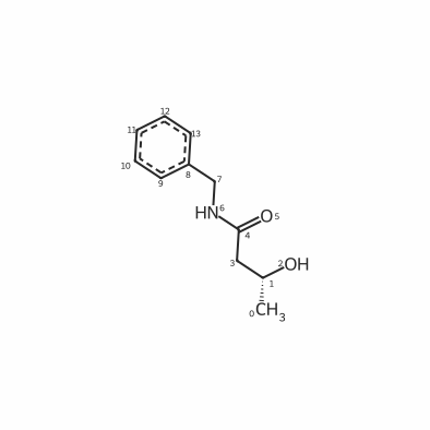 C[C@@H](O)CC(=O)NCc1ccccc1